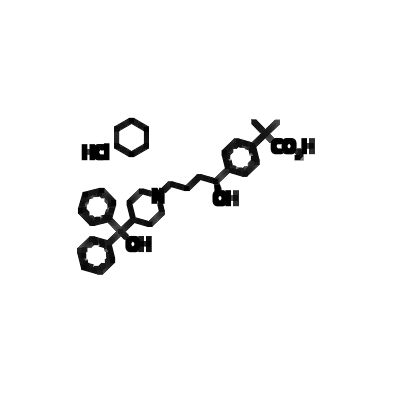 C1CCCCC1.CC(C)(C(=O)O)c1ccc([C@@H](O)CCCN2CCC(C(O)(c3ccccc3)c3ccccc3)CC2)cc1.Cl